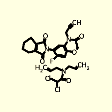 C#CCN1C(=O)COc2cc(F)c(N3C(=O)C4=C(CCCC4)C3=O)cc21.C=CCN(CC=C)C(=O)C(Cl)Cl